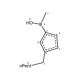 CCCCCCc1csc(B(C)O)c1